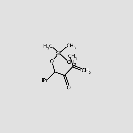 C=C(C)C(=O)[C](O[Si](C)(C)C)C(C)C